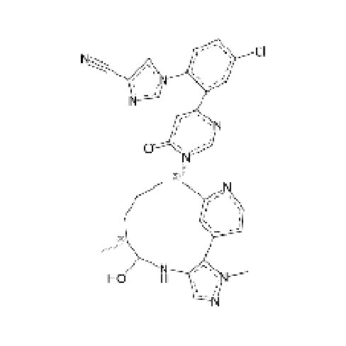 C[C@@H]1CCC[C@H](n2cnc(-c3cc(Cl)ccc3-n3cnc(C#N)c3)cc2=O)c2cc(ccn2)-c2c(cnn2C)NC1O